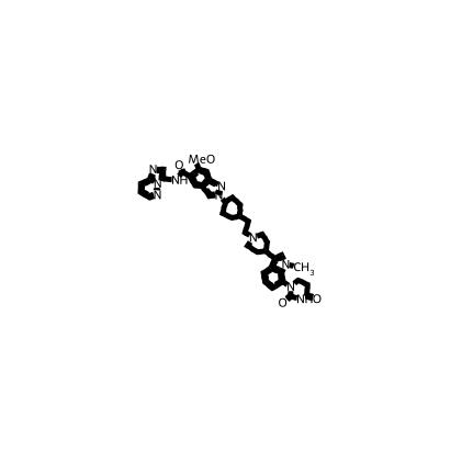 COc1cc2nn(C3CCC(CCN4CCC(c5cn(C)c6c(N7CCC(=O)NC7=O)cccc56)CC4)CC3)cc2cc1C(=O)Nc1cnc2cccnn12